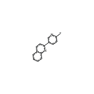 Fc1ccc(-c2ccc3ccccc3n2)cn1